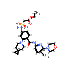 CCOC(=O)CS(=O)(=O)Nc1ccc(C(=O)Nc2ccc(C)c(N3CCOCC3)n2)c(N2CCC3(CC2)CC3)c1